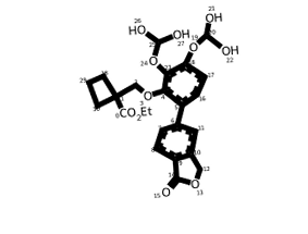 CCOC(=O)C1(COc2c(-c3ccc4c(c3)COC4=O)ccc(OC(O)O)c2OC(O)O)CCC1